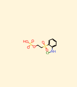 O=S(=O)(O)OCCS(=O)(=O)c1ccccc1NCl